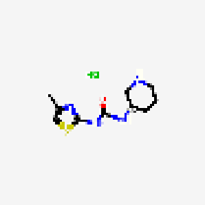 Cc1csc(NC(=O)N[C@@H]2CCCNC2)n1.Cl